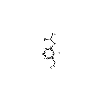 Cc1c(CCl)ncnc1OC(F)F